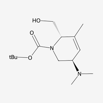 CC1=C[C@@H](N(C)C)CN(C(=O)OC(C)(C)C)[C@@H]1CO